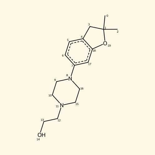 CC1(C)Cc2ccc(N3CCN(CCO)CC3)cc2O1